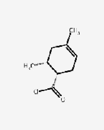 CC1=CC[C@H](C(=O)Cl)[C@H](C)C1